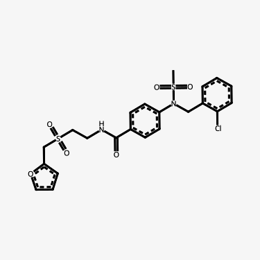 CS(=O)(=O)N(Cc1ccccc1Cl)c1ccc(C(=O)NCCS(=O)(=O)Cc2ccco2)cc1